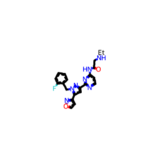 CCNCC(=O)Nc1ccnc(-c2cc(-c3ccon3)n(Cc3ccccc3F)n2)n1